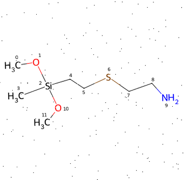 CO[Si](C)(CCSCCN)OC